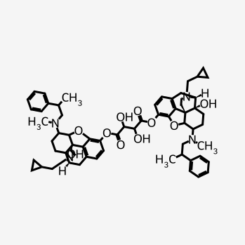 CC(CN(C)C1CC[C@@]2(O)[C@H]3Cc4ccc(OC(=O)C(O)C(O)C(=O)Oc5ccc6c7c5OC5C(N(C)CC(C)c8ccccc8)CC[C@@]8(O)[C@@H](C6)N(CC6CC6)CC[C@]758)c5c4[C@@]2(CCN3CC2CC2)C1O5)c1ccccc1